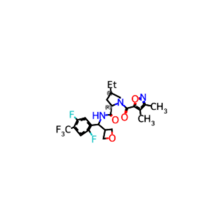 CC[C@@H]1C[C@H](C(=O)NC(c2cc(F)c(C(F)(F)F)cc2F)C2COC2)N(C(=O)c2onc(C)c2C)C1